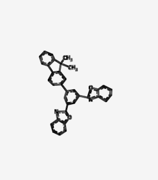 CC1(C)c2ccccc2-c2ccc(-c3cc(-c4nc5ccccc5o4)cc(-c4nc5ccccc5o4)c3)cc21